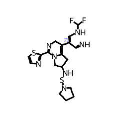 N=C/C(=C\NC(F)F)C1=C2CC(NSN3CCCC3)CN2C(c2nccs2)=NC1